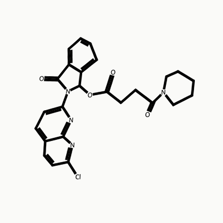 O=C(CCC(=O)N1CCCCC1)OC1c2ccccc2C(=O)N1c1ccc2ccc(Cl)nc2n1